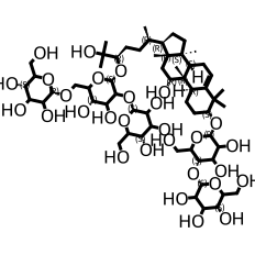 C[C@H](CC[C@@H](O[C@@H]1OC(CO[C@@H]2OC(CO)[C@@H](O)C(O)C2O)[C@@H](O)C(O)C1O[C@@H]1OC(CO)[C@@H](O)C(O)C1O)C(C)(C)O)[C@H]1CC[C@@]2(C)[C@@H]3CC=C4[C@@H](CC[C@H](O[C@@H]5OC(CO)[C@@H](O[C@@H]6OC(CO)[C@@H](O)C(O)C6O)C(O)C5O)C4(C)C)[C@]3(C)[C@H](O)C[C@]12C